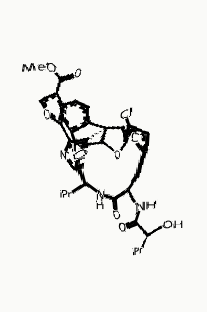 COC(=O)c1coc(-c2nc3oc2[C@@]24c5ccccc5NC2Oc2c(Cl)cc(cc24)CC(NC(=O)[C@@H](O)C(C)C)C(=O)NC3C(C)C)n1